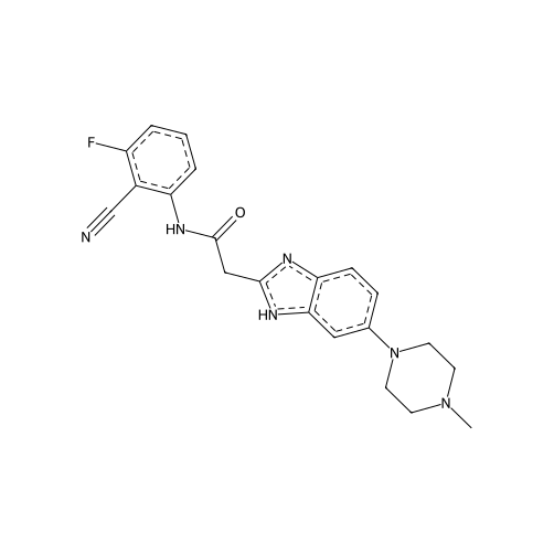 CN1CCN(c2ccc3nc(CC(=O)Nc4cccc(F)c4C#N)[nH]c3c2)CC1